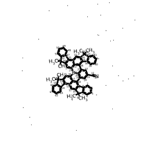 CC1(C)c2ccccc2-c2c1cc1c3c(cc4c1c2-c1cc(C#N)cc2c1B4c1cc4c(c5cc6c(c-2c15)-c1ccccc1C6(C)C)-c1ccccc1C4(C)C)C(C)(C)c1ccccc1-3